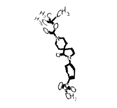 CC(C)(C)OC(=O)N1CCC2(CC1)CCN(c1ccc(S(C)(=O)=O)cc1)C2=O